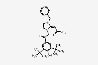 CC(=O)/N=C1\N(CC(=O)c2cc(C(C)(C)C)c(O)c(C(C)(C)C)c2)CCN1Cc1ccccc1